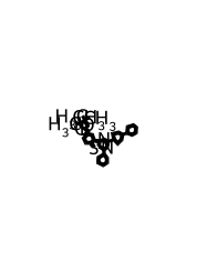 CC1(C)OB(c2ccc3sc4c(-c5ccccc5)nc(-c5ccc(-c6ccccc6)cc5)nc4c3c2)OC1(C)C